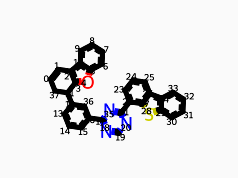 C1=Cc2c(oc3ccccc23)C(c2cccc(-c3ncnc(-c4cccc5c4sc4ccccc45)n3)c2)C1